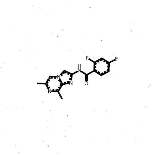 Cc1cn2cc(NC(=O)c3ccc(F)cc3F)nc2c(C)n1